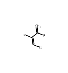 C=C(F)/C(Br)=C\CC